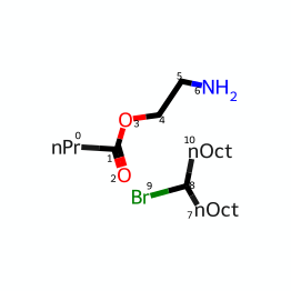 CCCC(=O)OCCN.CCCCCCCCC(Br)CCCCCCCC